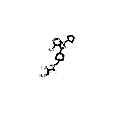 B/C=C(\B)C(=O)NCc1ccc(-c2nn(C3CCCC3)c3ncnc(N)c23)cc1